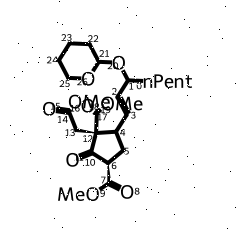 CCCCCC(C=CC1C[C@@H](C(=O)OC)C(=O)[C@]1(CC(=O)OC)C(=O)OC)OC1CCCCO1